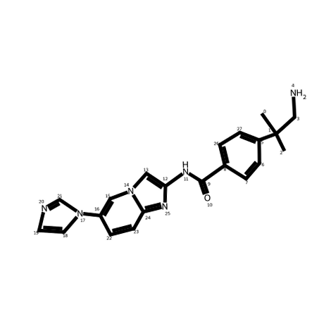 CC(C)(CN)c1ccc(C(=O)Nc2cn3cc(-n4ccnc4)ccc3n2)cc1